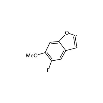 COc1cc2o[c]cc2cc1F